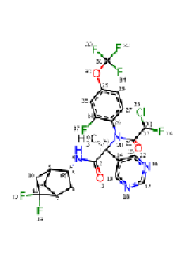 C[C@@](C(=O)N[C@@H]1CC2CC1CC2(F)F)(c1cncnc1)N(C(=O)[C@H](F)Cl)c1ccc(OC(F)(F)F)cc1F